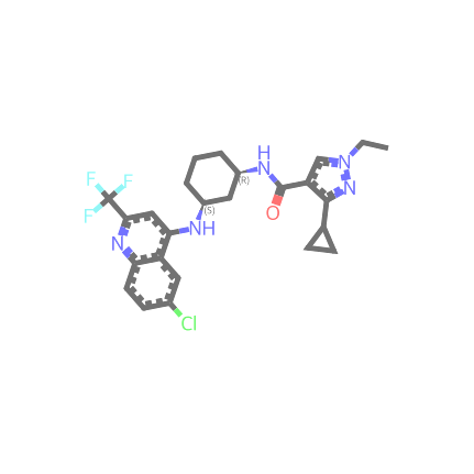 CCn1cc(C(=O)N[C@@H]2CCC[C@H](Nc3cc(C(F)(F)F)nc4ccc(Cl)cc34)C2)c(C2CC2)n1